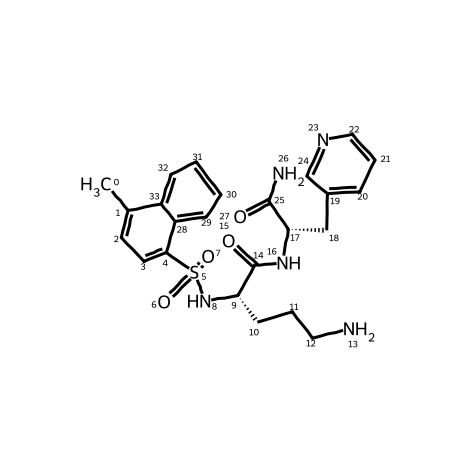 Cc1ccc(S(=O)(=O)N[C@@H](CCCN)C(=O)N[C@@H](Cc2cccnc2)C(N)=O)c2ccccc12